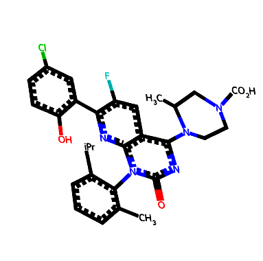 Cc1cccc(C(C)C)c1-n1c(=O)nc(N2CCN(C(=O)O)CC2C)c2cc(F)c(-c3cc(Cl)ccc3O)nc21